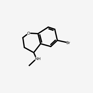 CNC1CCOc2ccc(Br)cc21